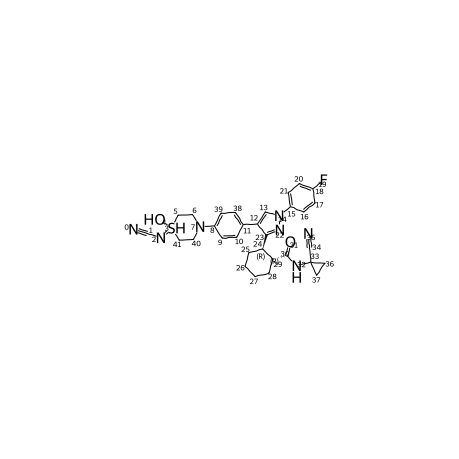 N#CN=[SH]1(O)CCN(c2ccc(-c3cn(-c4ccc(F)cc4)nc3[C@@H]3CCCC[C@H]3C(=O)NC3(C#N)CC3)cc2)CC1